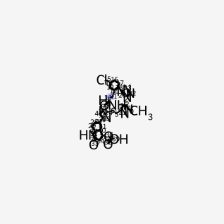 Cn1ccc(C[C@H](NC(=O)/C=C/c2cc(Cl)ccc2-n2cnnn2)c2nc(-c3ccc4[nH]c(=O)cc(OC(=O)O)c4c3)c[nH]2)n1